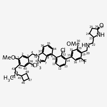 COc1cc(Cn2ncc3c(-c4cccc(-c5cc(F)c(CNCC6CCC(=O)N6)c(OC)c5)c4Cl)cccc32)c(C(F)(F)F)cc1CN(C)C1CCC1